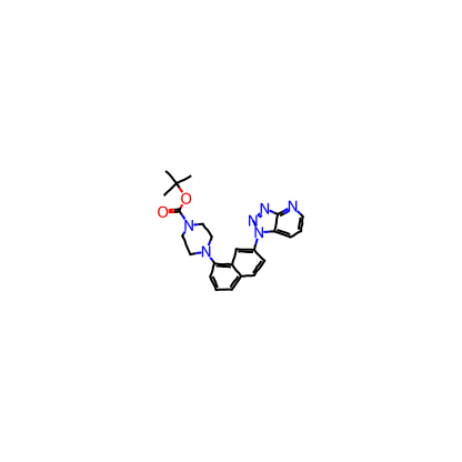 CC(C)(C)OC(=O)N1CCN(c2cccc3ccc(-n4nnc5ncccc54)cc23)CC1